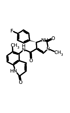 Cc1ccc2[nH]c(=O)ccc2c1NC(=O)C1=CN(C)C(=O)N[C@H]1c1ccc(F)cc1